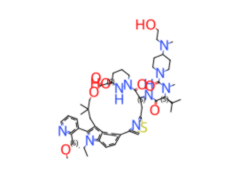 CCn1c(-c2cccnc2[C@H](C)OC)c2c3cc(ccc31)-c1csc(n1)C[C@H](NC(=O)[C@H](C(C)C)N(C)C(=O)N1CCC(N(C)CCO)CC1)C(=O)N1CCC[C@@](O)(N1)C(=O)OCC(C)(C)C2